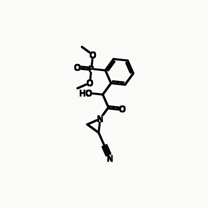 COP(=O)(OC)c1ccccc1C(O)C(=O)N1CC1C#N